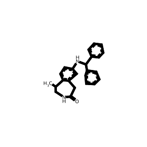 CC1CNC(=O)Cc2cc(NC(c3ccccc3)c3ccccc3)ccc21